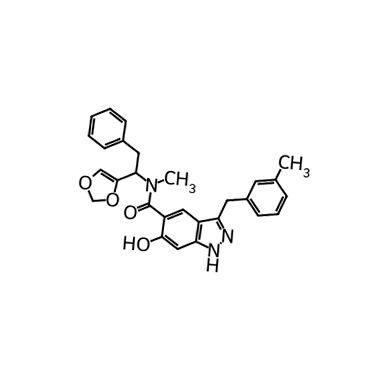 Cc1cccc(Cc2n[nH]c3cc(O)c(C(=O)N(C)C(Cc4ccccc4)C4=COCO4)cc23)c1